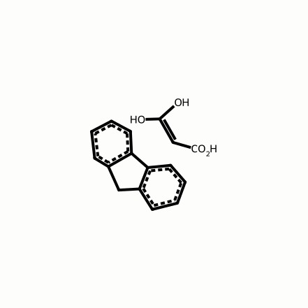 O=C(O)C=C(O)O.c1ccc2c(c1)Cc1ccccc1-2